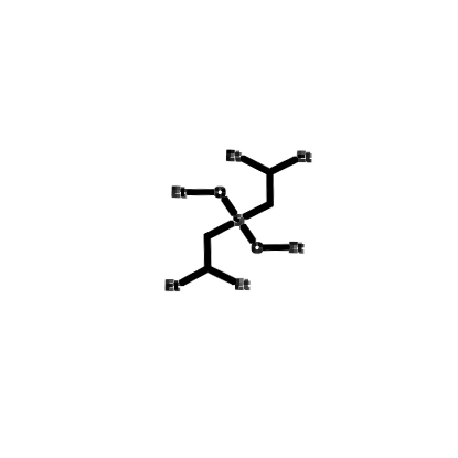 CCO[Si](CC(CC)CC)(CC(CC)CC)OCC